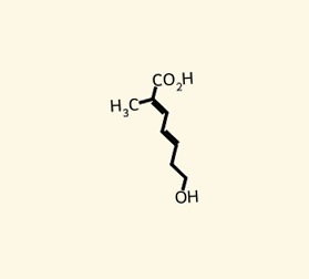 CC(=CC=CCCO)C(=O)O